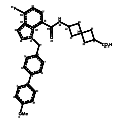 COc1ccc(-c2ccc(Cn3ccc4c(F)ccc(C(=O)NC5CC6(C5)CC(C(=O)O)C6)c43)cc2)cc1